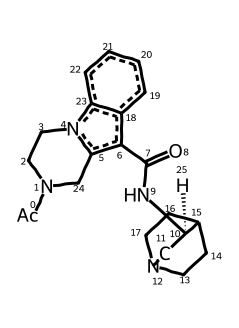 CC(=O)N1CCn2c(c(C(=O)N[C@@H]3CN4CCC3CC4)c3ccccc32)C1